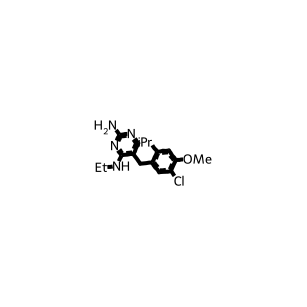 CCNc1nc(N)ncc1Cc1cc(Cl)c(OC)cc1C(C)C